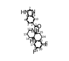 O=C(c1ccc2[nH]cnc2c1)N1CCC[C@@H]2c3cc(F)cc(F)c3CC[C@H]21